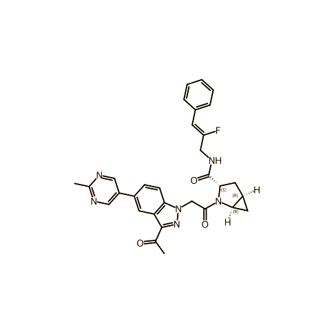 CC(=O)c1nn(CC(=O)N2[C@@H]3C[C@@H]3C[C@H]2C(=O)NCC(F)=Cc2ccccc2)c2ccc(-c3cnc(C)nc3)cc12